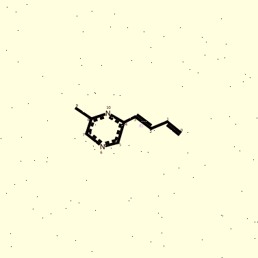 C=C/C=C/c1cncc(C)n1